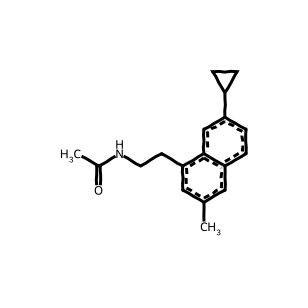 CC(=O)NCCc1cc(C)cc2ccc(C3CC3)cc12